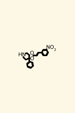 O=C(/C=C/c1cccc([N+](=O)[O-])c1)OC1(c2ccccc2)CCNCC1